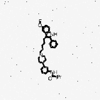 CC(C)C(=O)Nc1cccc(C2CCN(CCCCCc3c(-c4ccccc4)[nH]c4ccc(OF)cc34)CC2)c1